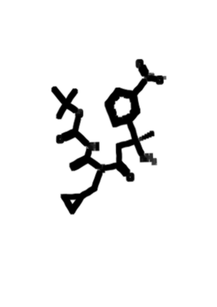 C=C(NC(=O)OC(C)(C)C)N(CC1CC1)C(=O)C[C@](C)(N)c1cccc([N+](=O)[O-])c1